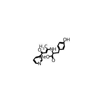 COC(=O)C(Cc1ccc(O)cc1)NC(C)=CC(=O)c1cccnc1